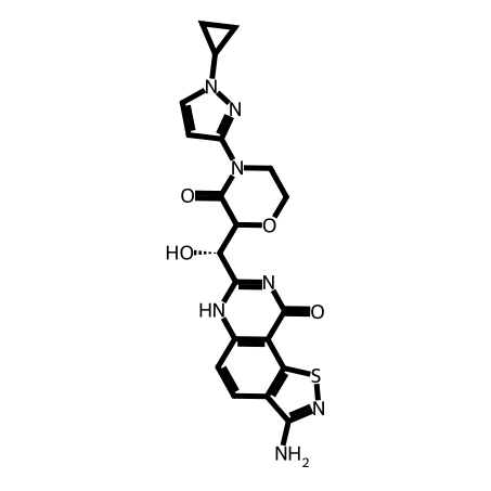 Nc1nsc2c1ccc1[nH]c([C@H](O)C3OCCN(c4ccn(C5CC5)n4)C3=O)nc(=O)c12